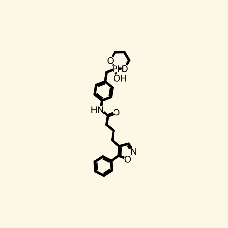 O=C(CCCc1cnoc1-c1ccccc1)Nc1ccc(C[PH]2(O)OCCCO2)cc1